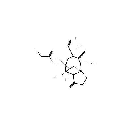 C=C[C@]1(C)C[C@@H](OC(=O)CO)[C@]2(C)C(C)CC[C@]3(CCC(=O)[C@H]32)[C@@H](C)C1=O